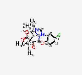 CCCCC(C(=O)OCC)(C(=O)C(Oc1ccc(Cl)cc1)n1cncn1)C(C)C